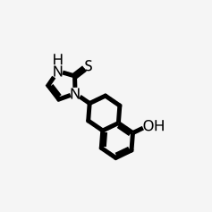 Oc1cccc2c1CCC(n1cc[nH]c1=S)C2